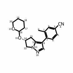 Cc1cc(C#N)ccc1-c1cnn2c1C[C@@H](OC1CCCCO1)C2